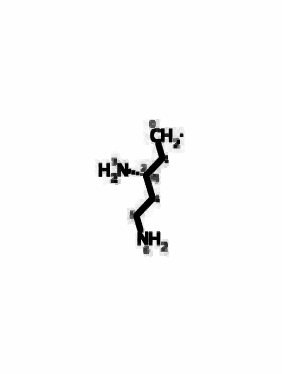 [CH2]C[C@@H](N)CCN